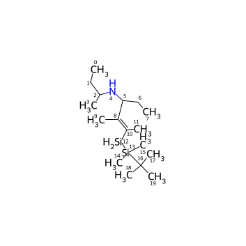 CCC(C)NC(CC)C(C)=C(C)[SiH2][Si](C)(C)C(C)(C)C